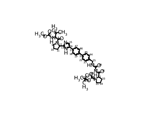 COC(=O)N[C@H](C(=O)N1CCCC1c1ncc(-c2ccc(-c3ccc(CNC(=O)NC(=O)C4CCCN4C(=O)OC(C)(C)C)cc3)cc2)[nH]1)C(C)C